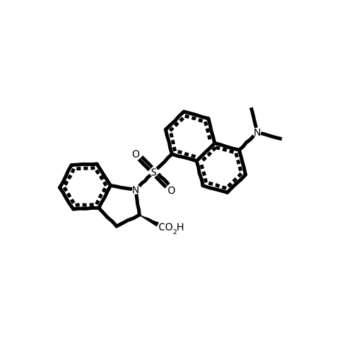 CN(C)c1cccc2c(S(=O)(=O)N3c4ccccc4C[C@@H]3C(=O)O)cccc12